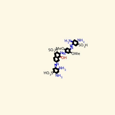 COc1cc(N=Nc2c(S(=O)(=O)O)cc3ccc(N=Nc4cc(S(=O)(=O)O)c(N)cc4N)cc3c2O)c(OC)cc1N=Nc1cc(S(=O)(=O)O)c(N)cc1N